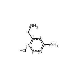 Cl.NCc1cc(N)ncn1